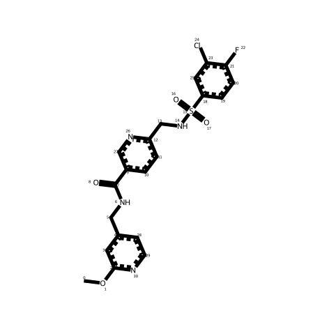 COc1cc(CNC(=O)c2ccc(CNS(=O)(=O)c3ccc(F)c(Cl)c3)nc2)ccn1